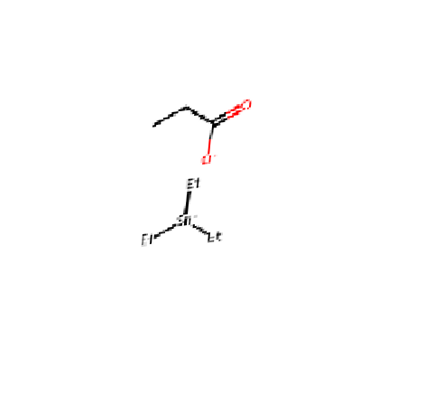 CCC(=O)[O-].C[CH2][Sn+]([CH2]C)[CH2]C